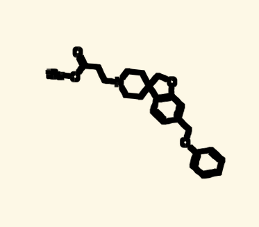 CC(C)(C)OC(=O)CCN1CCC2(CC1)COc1cc(COc3ccccc3)ccc12